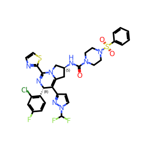 O=C(N[C@H]1CC2=C(c3ccn(C(F)F)n3)[C@H](c3ccc(F)cc3Cl)N=C(c3nccs3)N2C1)N1CCN(S(=O)(=O)c2ccccc2)CC1